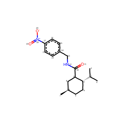 CC(C)[C@@H]1CC[C@@H](C)CC1C(=O)NCc1ccc([N+](=O)[O-])cc1